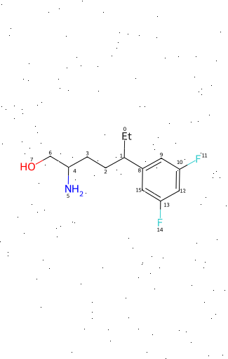 CCC(CCC(N)CO)c1cc(F)cc(F)c1